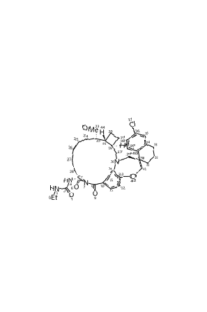 CCNC(=O)N[S@@]1(=O)=NC(=O)c2ccc3c(c2)N(C[C@@H]2CC[C@H]2[C@@H](OC)CCCCC1)C[C@@]1(CCCc2cc(Cl)ccc21)CO3